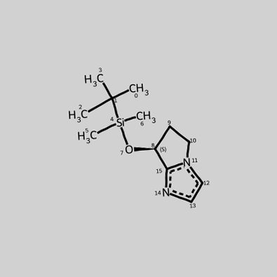 CC(C)(C)[Si](C)(C)O[C@H]1CCn2ccnc21